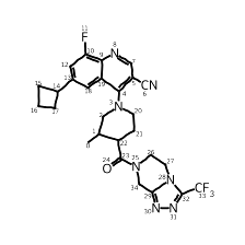 CC1CN(c2c(C#N)cnc3c(F)cc(C4CCC4)cc23)CCC1C(=O)N1CCn2c(nnc2C(F)(F)F)C1